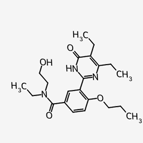 CCCOc1ccc(C(=O)N(CC)CCO)cc1-c1nc(CC)c(CC)c(=O)[nH]1